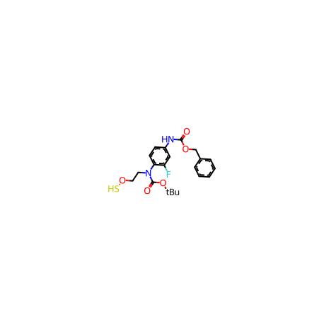 CC(C)(C)OC(=O)N(CCOS)c1ccc(NC(=O)OCc2ccccc2)cc1F